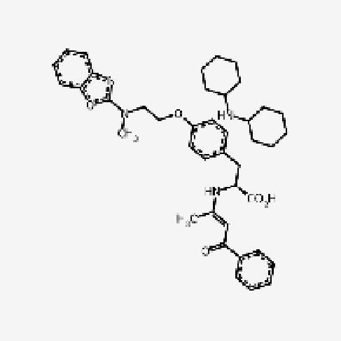 C1CCC(NC2CCCCC2)CC1.CC(=CC(=O)c1ccccc1)N[C@@H](Cc1ccc(OCCN(C)c2nc3ccccc3o2)cc1)C(=O)O